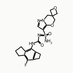 NS(=O)(=NC(=O)Nc1c2c(c(F)c3c1CC3)CCC2)c1cnn2c1OCC1(COC1)C2